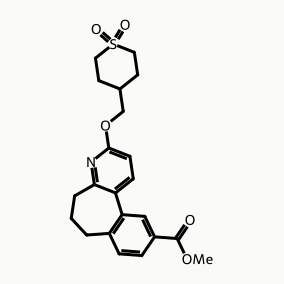 COC(=O)c1ccc2c(c1)-c1ccc(OCC3CCS(=O)(=O)CC3)nc1CCC2